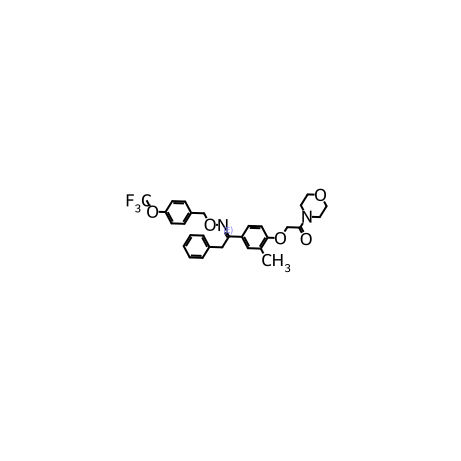 Cc1cc(/C(Cc2ccccc2)=N/OCc2ccc(OC(F)(F)F)cc2)ccc1OCC(=O)N1CCOCC1